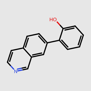 Oc1ccccc1-c1ccc2ccncc2c1